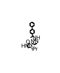 CC(Nc1nccc(N2C(=O)NC[C@@H]2C(C)C)n1)c1ccc(-c2ccccc2)cc1